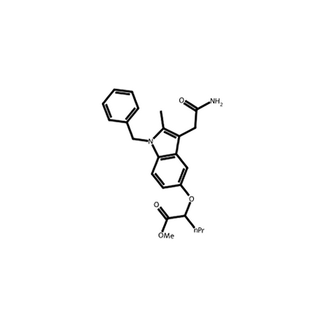 CCCC(Oc1ccc2c(c1)c(CC(N)=O)c(C)n2Cc1ccccc1)C(=O)OC